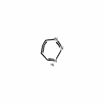 I.c1cnnnc1